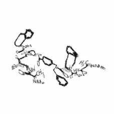 CN[C@@H](C)C(=O)N[C@H](C(=O)N1C[C@@H](NC(=O)c2ccc(CN(Cc3ccccc3)C(=O)[C@@H]3Cc4ccccc4CN3C(=O)[C@@H](NC(=O)[C@H](C)NC)C(C)(C)C)cc2)C[C@H]1C(=O)N[C@@H]1CCCc2ccccc21)C(C)(C)C